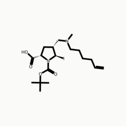 C=CCCCCN(C)C[C@H]1C[C@@H](C(=O)O)N(C(=O)OC(C)(C)C)[C@@H]1I